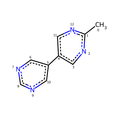 Cc1ncc(-c2cncnc2)cn1